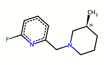 C[C@H]1CCCN(Cc2cccc(F)n2)C1